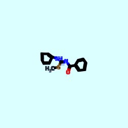 CS/C(=N\C(=O)c1ccccc1)Nc1ccccc1